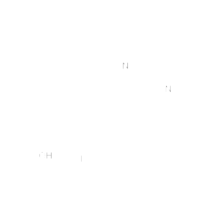 O/C=C\C(F)c1ccc2nccnc2c1